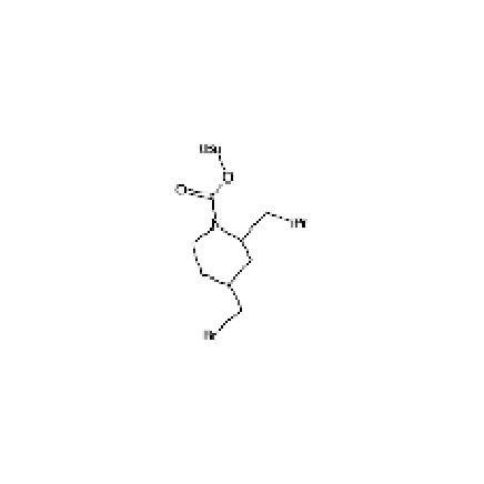 CC(C)CC1CC(CBr)CCN1C(=O)OC(C)(C)C